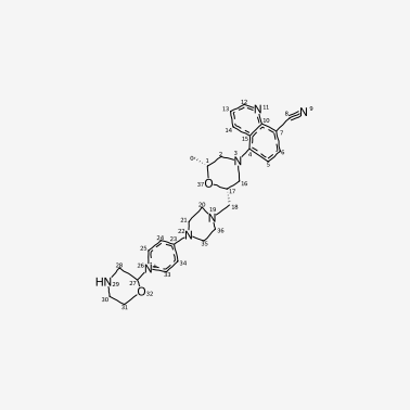 C[C@@H]1CN(c2ccc(C#N)c3ncccc23)C[C@H](CN2CCN(c3cc[n+](C4CNCCO4)cc3)CC2)O1